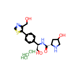 Cl.Cl.Cl.O=C(N[C@@H](CO)c1ccc(-c2scnc2CO)cc1)[C@@H]1CC(O)CN1